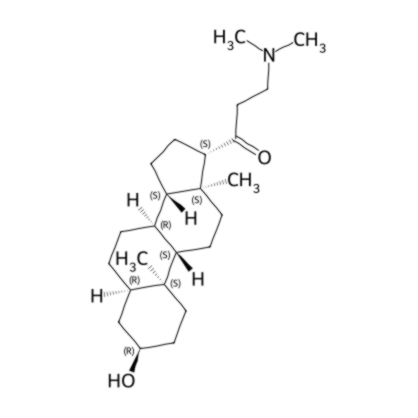 CN(C)CCC(=O)[C@H]1CC[C@H]2[C@@H]3CC[C@@H]4C[C@H](O)CC[C@]4(C)[C@H]3CC[C@]12C